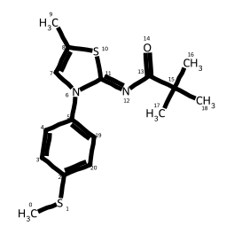 CSc1ccc(-n2cc(C)sc2=NC(=O)C(C)(C)C)cc1